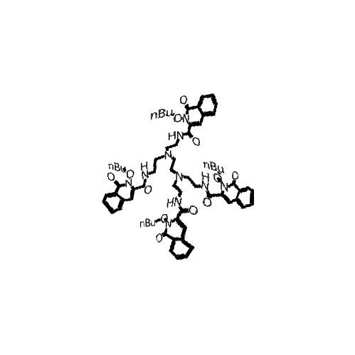 CCCCOn1c(C(=O)NCCN(CCNC(=O)c2cc3ccccc3c(=O)n2OCCCC)CCN(CCNC(=O)c2cc3ccccc3c(=O)n2OCCCC)CCNC(=O)c2cc3ccccc3c(=O)n2OCCCC)cc2ccccc2c1=O